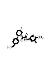 Cc1cc(NC(=O)C(=O)N2C[C@@H](C)CC[C@@H]2c2ccc(CO)cc2)cnc1N